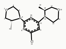 C[C@@H]1COCCN1c1nc(Cl)cc(N2CCOC[C@@H]2C)n1